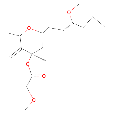 C=C1C(C)OC(CC[C@@H](CCC)OC)C[C@@]1(C)OC(=O)COC